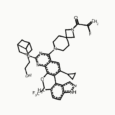 C=C(F)C(=O)N1CC2(CCN(c3nc(OC4C5CC4CN(CCO)C5)nc4c(OCC(F)(F)F)c(-c5c(C)ccc6[nH]ncc56)c(C5CC5)cc34)CC2)C1